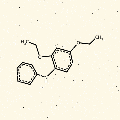 CCOc1ccc(Nc2ccccc2)c(OCC)c1